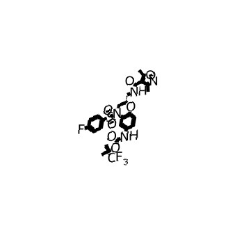 Cc1noc(C)c1C(=O)NC[C@H]1CN(S(=O)(=O)c2ccc(F)cc2)c2cc(NC(=O)OC(C)(C)C(F)(F)F)ccc2O1